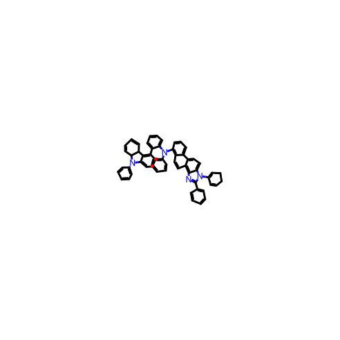 C1=CC2c3c(-c4ccccc4N(c4ccccc4)c4cccc5c4ccc4c5ccc5c4nc(-c4ccccc4)n5C4=CCCC=C4)cccc3N(c3ccccc3)C2C=C1